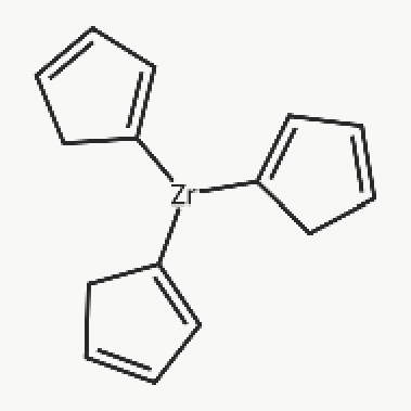 C1=CC[C]([Zr]([C]2=CC=CC2)[C]2=CC=CC2)=C1